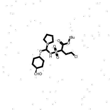 CC(C)(C)OC(=O)C(CCCl)S(=O)(=O)NC(O[C@H]1CC[C@H]([C]=O)CC1)N1CCCC1